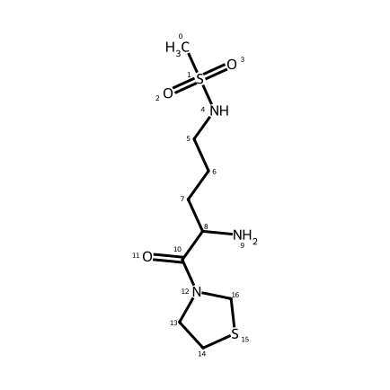 CS(=O)(=O)NCCCC(N)C(=O)N1CCSC1